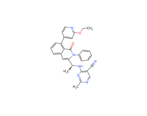 CCOc1cc(-c2cccc3cc([C@H](C)Nc4nc(C)ncc4C#N)n(-c4ccccc4)c(=O)c23)ccn1